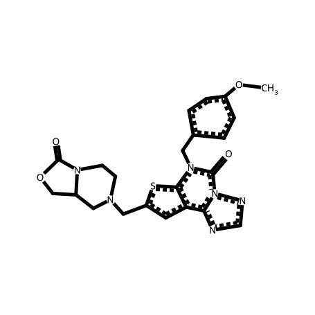 COc1ccc(Cn2c(=O)n3ncnc3c3cc(CN4CCN5C(=O)OCC5C4)sc32)cc1